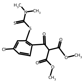 COC(=O)C(C(=O)OC)C(=O)c1ccc(Cl)cc1SC(=S)N(C)C